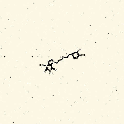 Cn1c(=O)c2c(ncn2CCCNCCc2ccc(O)c(O)c2)n(C)c1=O